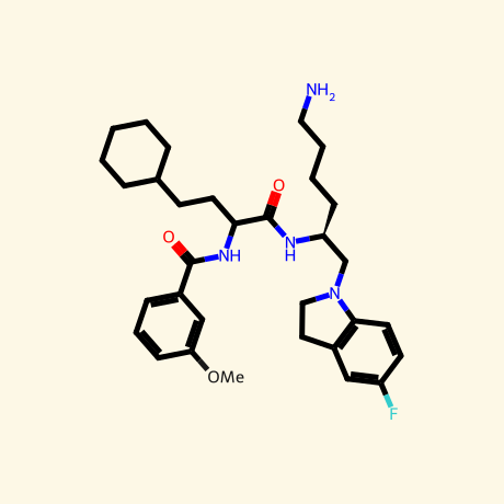 COc1cccc(C(=O)NC(CCC2CCCCC2)C(=O)N[C@@H](CCCCN)CN2CCc3cc(F)ccc32)c1